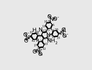 NC1=C(c2ccc([N+](=O)[O-])cc2)N(c2ccc([N+](=O)[O-])cc2)C(N)C(c2ccc([N+](=O)[O-])cc2)=C1c1ccc([N+](=O)[O-])cc1